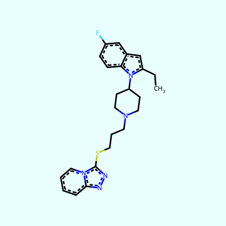 CCc1cc2cc(F)ccc2n1C1CCN(CCCSc2nnc3ccccn23)CC1